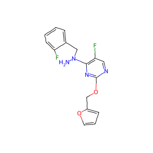 NN(Cc1ccccc1F)c1nc(OCc2ccco2)ncc1F